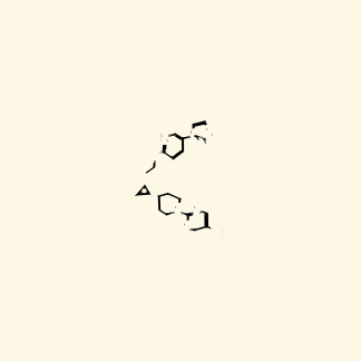 Clc1cnc(N2CCC([C@@H]3C[C@@H]3CCOc3ccc(-n4ccnn4)cn3)CC2)nc1